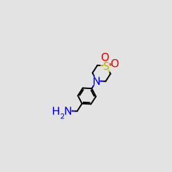 NCc1ccc(N2CCS(=O)(=O)CC2)cc1